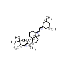 C[C@@H]1C/C(=C/C=C2\CCC[C@]3(C)[C@@H]([C@H](C)/C=C/[C@H](C)C(C)(C)O)CC[C@@H]23)C[C@@H](O)C1